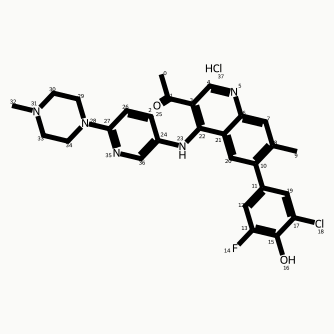 CC(=O)c1cnc2cc(C)c(-c3cc(F)c(O)c(Cl)c3)cc2c1Nc1ccc(N2CCN(C)CC2)nc1.Cl